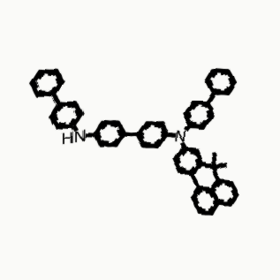 CC1(C)c2cc(N(c3ccc(-c4ccccc4)cc3)c3ccc(-c4ccc(Nc5ccc(-c6ccccc6)cc5)cc4)cc3)ccc2-c2cccc3cccc1c23